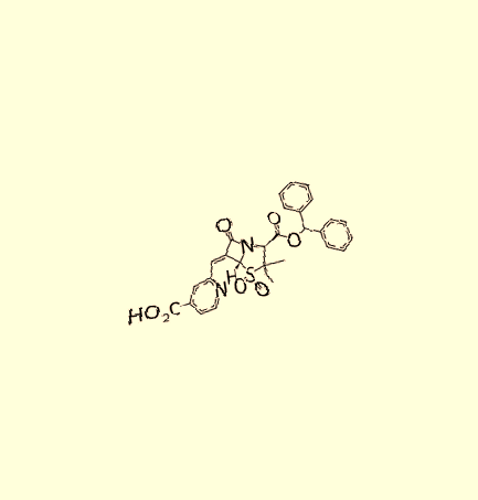 CC1(C)[C@H](C(=O)OC(c2ccccc2)c2ccccc2)N2C(=O)/C(=C/c3cc(C(=O)O)ccn3)[C@H]2S1(=O)=O